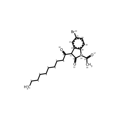 CCCCCCCCCC(=O)C1C(=O)N(C(C)=O)c2ccc(Br)cc21